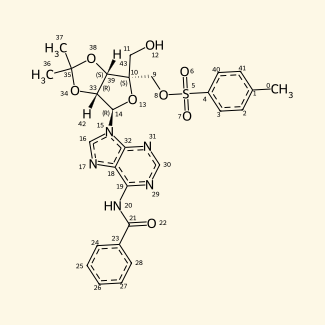 Cc1ccc(S(=O)(=O)OC[C@]2(CO)O[C@@H](n3cnc4c(NC(=O)c5ccccc5)ncnc43)[C@@H]3OC(C)(C)O[C@@H]32)cc1